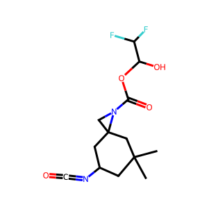 CC1(C)CC(N=C=O)CC2(CN2C(=O)OC(O)C(F)F)C1